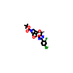 C[C@@H](O[C@@H]1C2COCC23CN(C(=O)OC(C)(C)C)CC13)c1nc(-c2ccc(Br)cc2F)no1